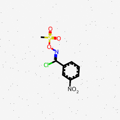 CS(=O)(=O)ON=C(Cl)c1cccc([N+](=O)[O-])c1